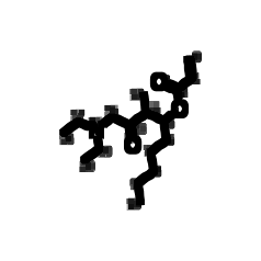 C=CC(=O)OC(CCCCC)C(C)C(=O)CN(CC)CC